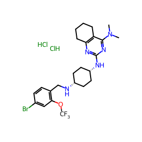 CN(C)c1nc(N[C@H]2CC[C@@H](NCc3ccc(Br)cc3OC(F)(F)F)CC2)nc2c1CCCC2.Cl.Cl